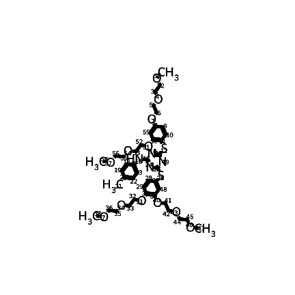 COCCOCCOc1ccc(Sc2nc(Nc3ccc(C)cc3)nc(Sc3ccc(OCCOCCOC)c(OCCOCCOC)c3)n2)c(OCCOCCOC)c1